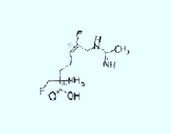 CC(=N)NC/C(F)=C\CC[C@@](N)(CF)C(=O)O